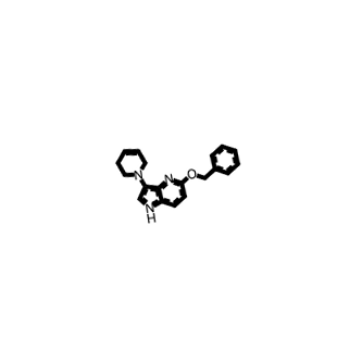 C1=CCN(c2c[nH]c3ccc(OCc4ccccc4)nc23)CC1